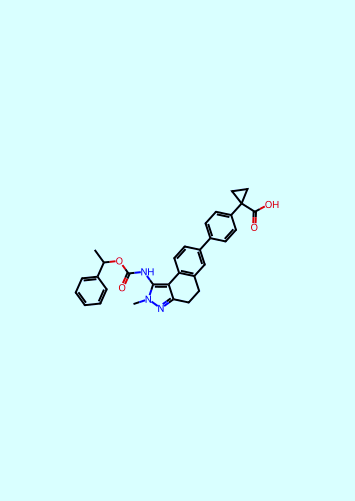 CC(OC(=O)Nc1c2c(nn1C)CCc1cc(-c3ccc(C4(C(=O)O)CC4)cc3)ccc1-2)c1ccccc1